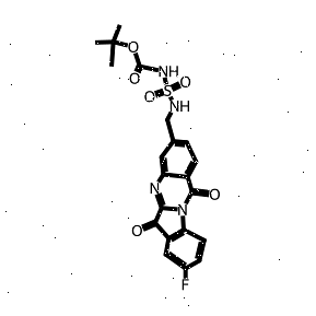 CC(C)(C)OC(=O)NS(=O)(=O)NCc1ccc2c(=O)n3c(nc2c1)C(=O)c1cc(F)ccc1-3